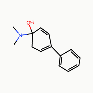 CN(C)C1(O)C=CC(c2ccccc2)=CC1